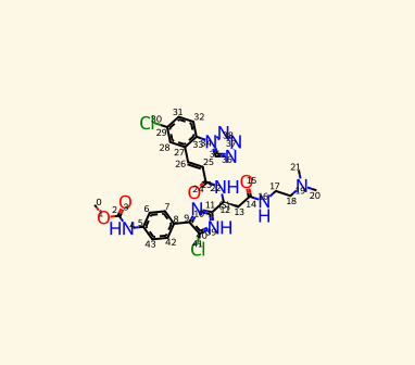 COC(=O)Nc1ccc(-c2nc([C@H](CC(=O)NCCN(C)C)NC(=O)C=Cc3cc(Cl)ccc3-n3cnnn3)[nH]c2Cl)cc1